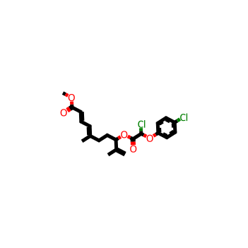 C=C(C)C(CCC(C)=CC=CC(=O)OC)OC(=O)C(Cl)Oc1ccc(Cl)cc1